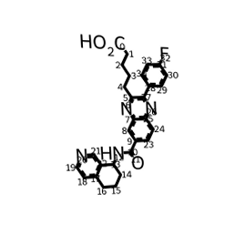 O=C(O)CCCCc1nc2cc(C(=O)NC3CCCc4ccncc43)ccc2nc1-c1ccc(F)cc1